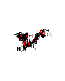 C=Cc1ccccc1N(Cc1ccccc1CC)C(=O)CCNC(=O)C1CCC2(CC1)CCN(C(=O)CCOCCC(=O)N[C@H](C(=O)N[C@@H](CCCCN)C(=O)NCC(=O)N[C@H]1CCc3c(C)c(F)cc4nc5c(c1c34)Cn1c-5cc3c(c1=O)COC(=O)[C@]3(O)CC)C(C)C)CC2